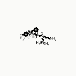 Cc1c(Cl)ccc(S(=O)(=O)C(Cc2ccccc2)NCC(=O)NCC(=O)N(CCCCN)CCN(C)C)c1Cl